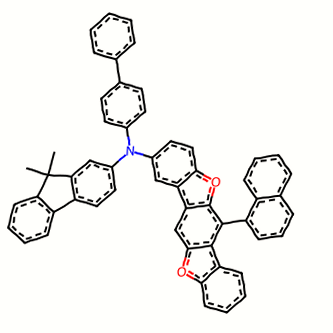 CC1(C)c2ccccc2-c2ccc(N(c3ccc(-c4ccccc4)cc3)c3ccc4oc5c(-c6cccc7ccccc67)c6c(cc5c4c3)oc3ccccc36)cc21